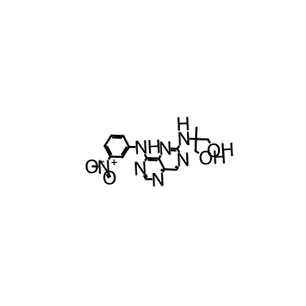 CC(CO)(CO)Nc1ncc2ncnc(Nc3cccc([N+](=O)[O-])c3)c2n1